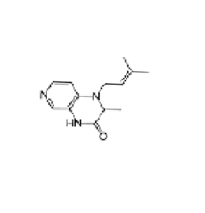 CC(C)=CCN1c2ccncc2NC(=O)C1C